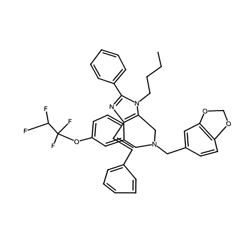 CCCCn1c(-c2ccccc2)nc(C=Cc2ccccc2)c1CN(Cc1cccc(OC(F)(F)C(F)F)c1)Cc1ccc2c(c1)OCO2